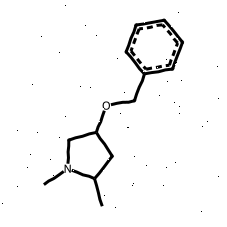 CC1CC(OCc2ccccc2)CN1C